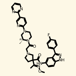 CON=C(C)C1(C(=O)Nc2ccc3[nH]nc(-c4ccc(F)cc4)c3c2)CCN(CC(=O)N2CCN(c3ccc(-c4ncccn4)cn3)C[C@H]2C)C1